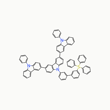 c1ccc(-n2c3ccccc3c3cc(-c4ccc5c(c4)c4cc(-c6ccc7c(c6)c6ccccc6n7-c6ccccc6)ccc4n5-c4cccc(-c5cccc(S(c6ccccc6)(c6ccccc6)c6ccccc6)c5)c4)ccc32)cc1